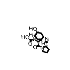 N#C[C@@H]1CCCN1C(=O)[C@@H]1[C@@H]2CC[C@@H](O)[C@@H](C2)N1C(=O)O